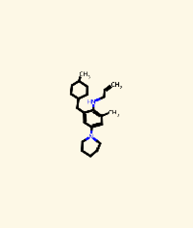 C=CCNc1c(C)cc(N2CCCCC2)cc1CC1CCC(C)CC1